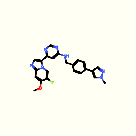 COc1cc2ncc(-c3cc(NCc4ccc(-c5cnn(C)c5)cc4)ncn3)n2cc1F